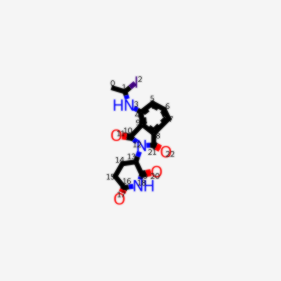 CC(I)Nc1cccc2c1C(=O)N(C1CCC(=O)NC1=O)C2=O